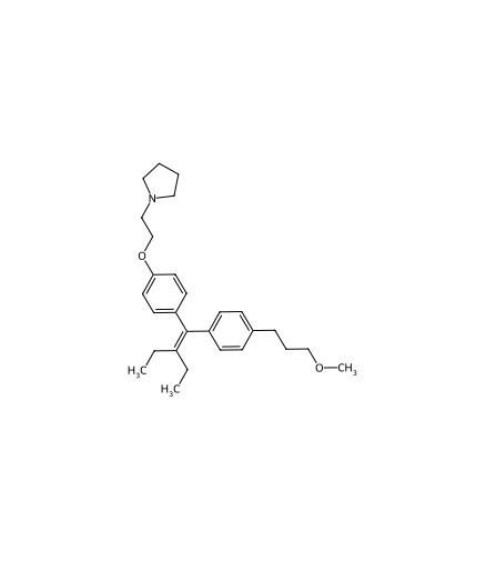 CCC(CC)=C(c1ccc(CCCOC)cc1)c1ccc(OCCN2CCCC2)cc1